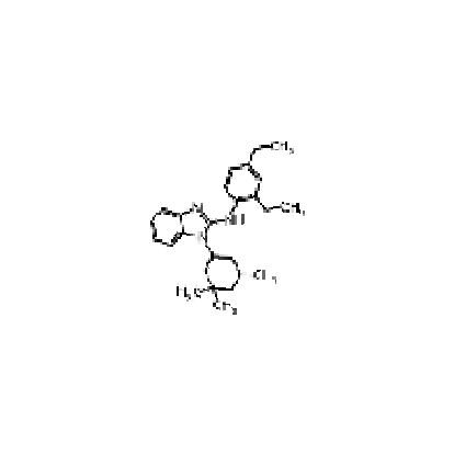 CCc1ccc(Nc2nc3ccccc3n2C2CC(C)CC(C)(C)C2)c(CC)c1